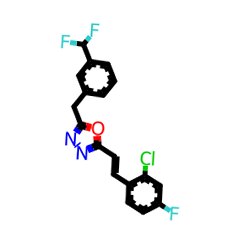 Fc1ccc(/C=C/c2nnc(Cc3cccc(C(F)F)c3)o2)c(Cl)c1